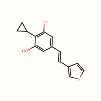 Oc1cc(C=Cc2ccsc2)cc(O)c1C1CC1